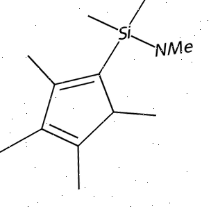 CN[Si](C)(C)C1=C(C)C(C)=C(C)C1C